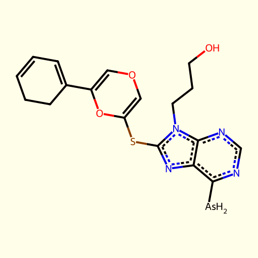 OCCCn1c(SC2=COC=C(C3=CC=CCC3)O2)nc2c([AsH2])ncnc21